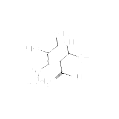 C=C(C)CC(C)C.COCC(O)CO